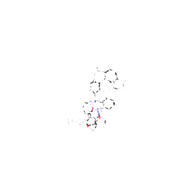 C=Cc1c(/C=C\CC)c2ccccc2n1-c1ccccc1/C(=N\C1CCc2ccccc2C1)c1ccc2c(c1)-c1c(ccc3c1C=CCC3)CC2